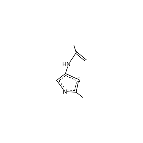 C=C(C)Nc1cnc(C)s1